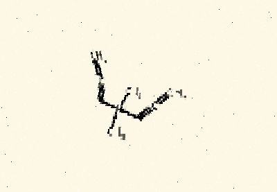 C=C=C[N+](C)(C)C=C=C